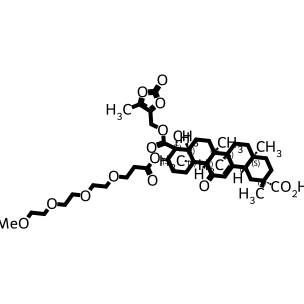 COCCOCCOCCOCCC(=O)O[C@H]1CC[C@@]2(C)[C@@H](CC[C@]3(C)[C@@H]2C(=O)C=C2[C@@H]4C[C@@](C)(C(=O)O)CC[C@]4(C)CC[C@]23C)[C@]1(C)C(=O)OCc1oc(=O)oc1C